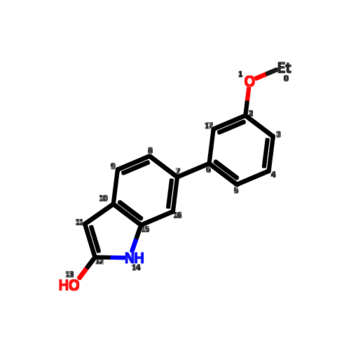 CCOc1cccc(-c2ccc3cc(O)[nH]c3c2)c1